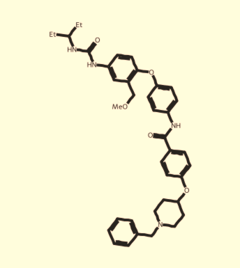 CCC(CC)NC(=O)Nc1ccc(Oc2ccc(NC(=O)c3ccc(OC4CCN(Cc5ccccc5)CC4)cc3)cc2)c(COC)c1